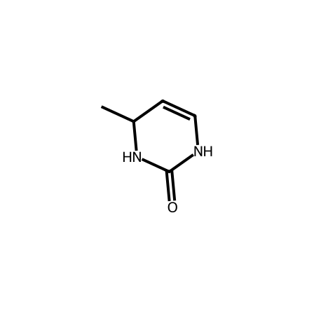 CC1C=CNC(=O)N1